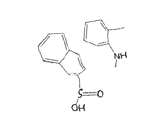 CNc1ccccc1C.O=S(O)c1ccc2ccccc2c1